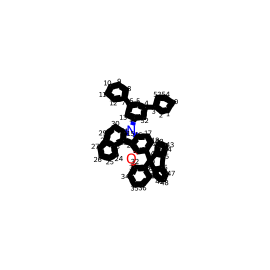 c1ccc(-c2cc(-c3ccccc3)cc(-n3c4ccc5c(c4c4c6ccccc6ccc43)Oc3ccccc3C53c4ccccc4-c4ccccc43)c2)cc1